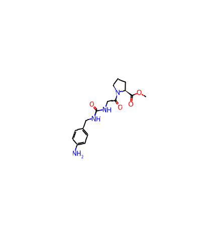 COC(=O)[C@@H]1CCCN1C(=O)CNC(=O)NCc1ccc(N)cc1